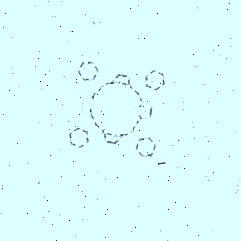 CC(=O)c1ccc(-c2c3nc(c(-c4ccccc4)c4ccc([nH]4)c(-c4ccccc4)c4nc(c(-c5ccccc5)c5ccc2[nH]5)CC4)C=C3)cc1